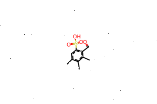 Cc1cc(S(=O)(=O)O)c(C=O)c(C)c1C